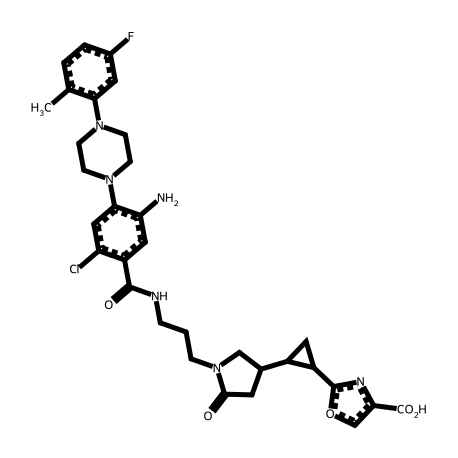 Cc1ccc(F)cc1N1CCN(c2cc(Cl)c(C(=O)NCCCN3CC(C4CC4c4nc(C(=O)O)co4)CC3=O)cc2N)CC1